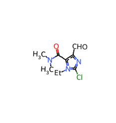 CCn1c(Cl)nc(C=O)c1C(=O)N(C)C